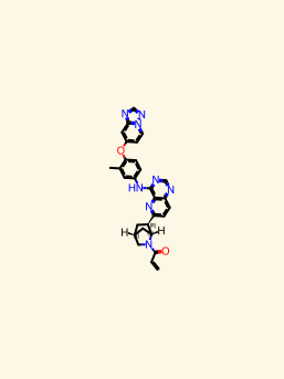 C=CC(=O)N1C[C@H]2C[C@@H]1[C@H](c1ccc3ncnc(Nc4ccc(Oc5ccn6ncnc6c5)c(C)c4)c3n1)C2